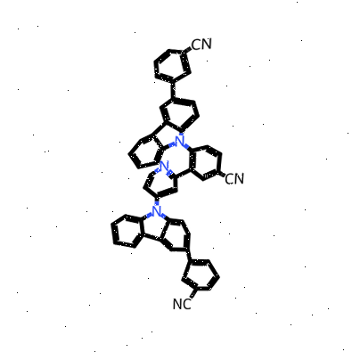 N#Cc1cccc(-c2ccc3c(c2)c2ccccc2n3-c2ccnc(-c3cc(C#N)ccc3-n3c4ccccc4c4cc(-c5cccc(C#N)c5)ccc43)c2)c1